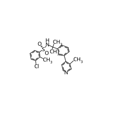 Cc1cnccc1-c1cccc(C(C)(C)NS(=O)(=O)c2cccc(Cl)c2C)c1